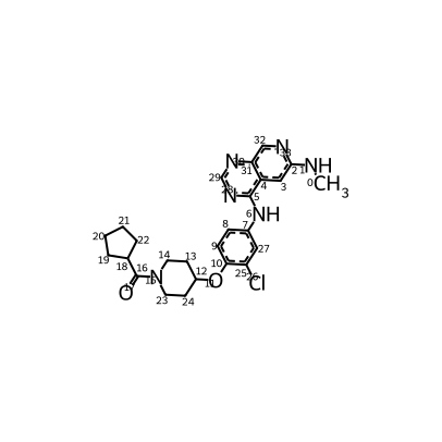 CNc1cc2c(Nc3ccc(OC4CCN(C(=O)C5CCCC5)CC4)c(Cl)c3)ncnc2cn1